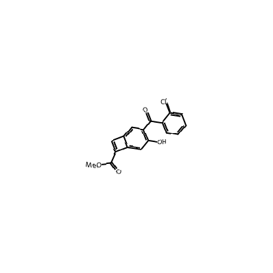 COC(=O)C1=Cc2cc(C(=O)c3ccccc3Cl)c(O)cc21